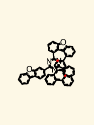 c1ccc(-c2nc(-c3ccc4c(c3)oc3ccccc34)nc(-c3cccc4oc5cccc(-c6ccc7c8ccccc8c8ccccc8c7c6)c5c34)n2)cc1